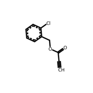 C#CC(=O)OCc1ccccc1Cl